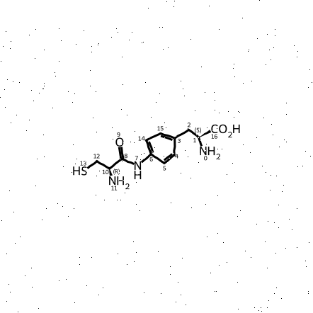 N[C@@H](Cc1ccc(NC(=O)[C@@H](N)CS)cc1)C(=O)O